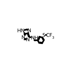 FC(F)(F)Sc1cccc(CNc2ncnc3[nH]cnc23)c1